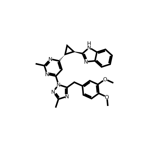 COc1ccc(Cc2nc(C)nn2-c2cc([C@@H]3C[C@H]3c3nc4ccccc4[nH]3)nc(C)n2)cc1OC